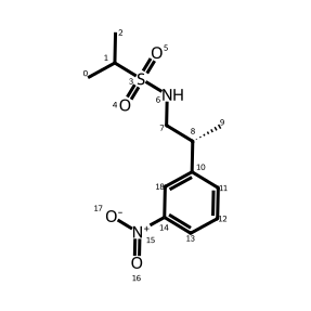 CC(C)S(=O)(=O)NC[C@H](C)c1cccc([N+](=O)[O-])c1